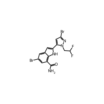 NC(=O)c1cc(Br)cc2cc(-c3cc(Br)nn3CC(F)F)[nH]c12